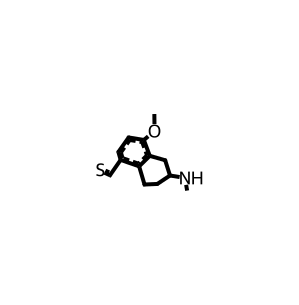 CNC1CCc2c(C=S)ccc(OC)c2C1